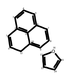 C1=Cc2cccc3cccc(c23)C1.c1ccoc1